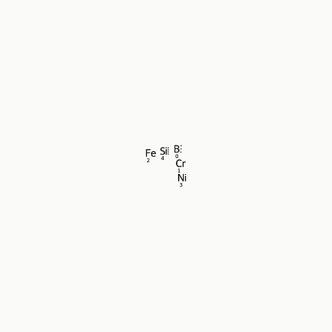 [B].[Cr].[Fe].[Ni].[Si]